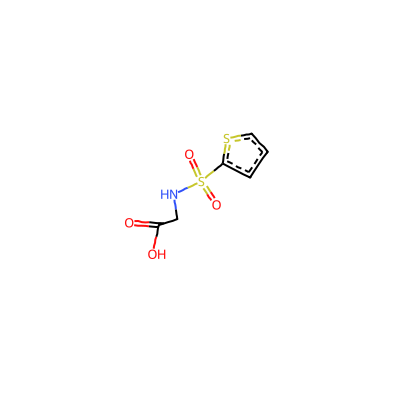 O=C(O)CNS(=O)(=O)c1cccs1